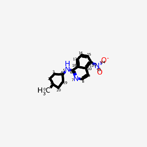 CC1CCC(Nc2nccc3c([N+](=O)[O-])cccc23)CC1